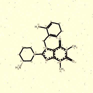 Cn1c(=O)c2c(nc(N3CCC[C@@H](N)C3)n2CC2=CCCC=C2N)n(C)c1=O